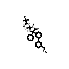 COCc1cccc(-c2cccc(C3(c4ccccc4)NC(N)(OC(=O)C(F)(F)F)N(C)C3=O)c2)c1